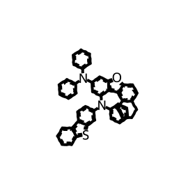 C1=Cc2c(ccc3oc4cc(N(c5ccccc5)c5ccccc5)cc(N(c5ccccc5)c5ccc6c(c5)sc5ccccc56)c4c23)CC1